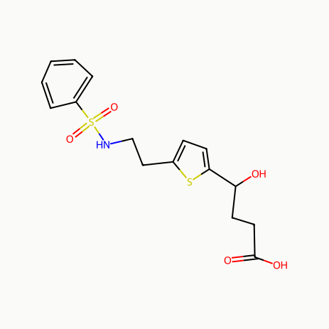 O=C(O)CCC(O)c1ccc(CCNS(=O)(=O)c2ccccc2)s1